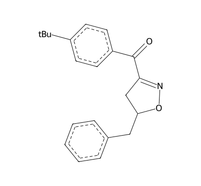 CC(C)(C)c1ccc(C(=O)C2=NOC(Cc3ccccc3)C2)cc1